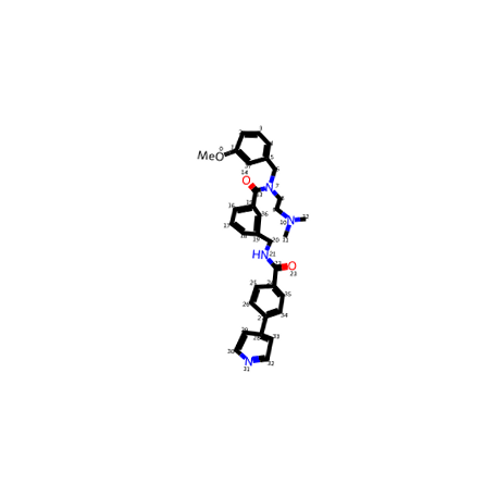 COc1cccc(CN(CCN(C)C)C(=O)c2cccc(CNC(=O)c3ccc(-c4ccncc4)cc3)c2)c1